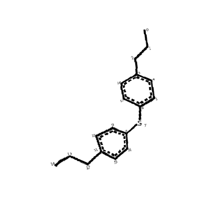 CCCc1ccc(Sc2ccc(CCC)cc2)cc1